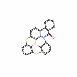 O=c1c2ccccc2c2ccc3c4c2n1-c1cccc2c1B4c1c(cccc1S3)S2